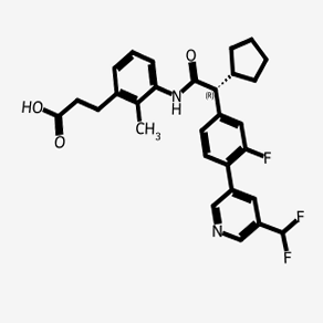 Cc1c(CCC(=O)O)cccc1NC(=O)[C@@H](c1ccc(-c2cncc(C(F)F)c2)c(F)c1)C1CCCC1